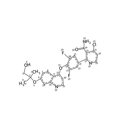 CC(C)(CO)Oc1ccc2c(Oc3c(F)cc(-c4nccc(Cl)c4C(N)=O)cc3F)ccnc2c1